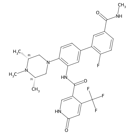 CNC(=O)c1ccc(F)c(-c2ccc(N3C[C@@H](C)N(C)[C@@H](C)C3)c(NC(=O)c3c[nH]c(=O)cc3C(F)(F)F)c2)c1